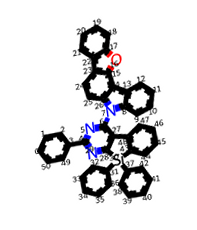 c1ccc(-c2nc(-n3c4ccccc4c4c5oc6ccccc6c5ccc43)c3c(n2)[Si](c2ccccc2)(c2ccccc2)c2ccccc2-3)cc1